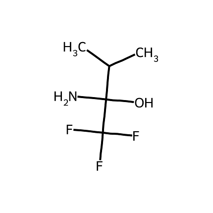 CC(C)C(N)(O)C(F)(F)F